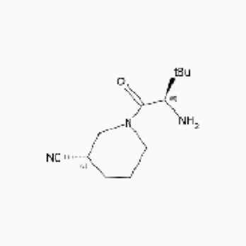 CC(C)(C)[C@@H](N)C(=O)N1CCC[C@H](C#N)C1